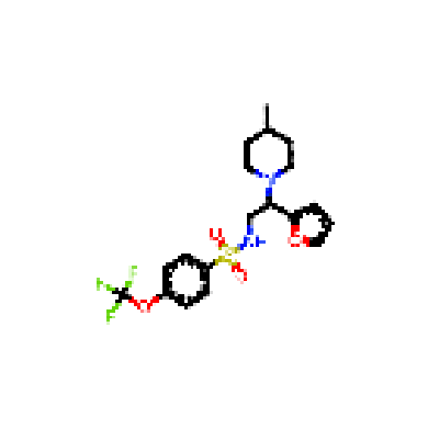 CC1CCN(C(CNS(=O)(=O)c2ccc(OC(F)(F)F)cc2)c2ccco2)CC1